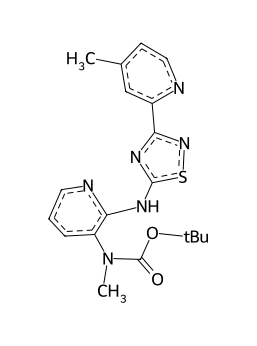 Cc1ccnc(-c2nsc(Nc3ncccc3N(C)C(=O)OC(C)(C)C)n2)c1